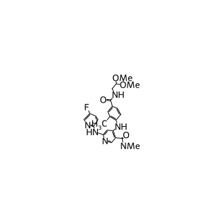 CNC(=O)c1cnc(Nc2ccc(F)cn2)cc1Nc1ccc(C(=O)NCC(OC)OC)cc1C